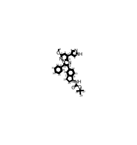 COc1cc(-c2cn[nH]c2)c2nc(-c3ccc4c(c3)CC[C@@H]4NC(=O)OC(C)(C)C)c(-c3ccccc3)n2n1